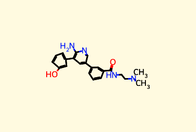 CN(C)CCNC(=O)c1cccc(-c2cnc(N)c(-c3cccc(O)c3)c2)c1